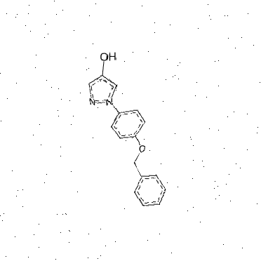 Oc1cnn(-c2ccc(OCc3ccccc3)cc2)c1